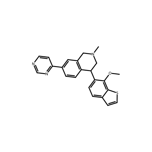 COc1c(C2CN(C)Cc3cc(-c4ccncn4)ccc32)ccc2ccsc12